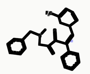 C=C(CN(C)Cc1ccccc1)C(=O)/C(=C\C1C=CC=C(C(F)(F)F)C1)c1ccccc1